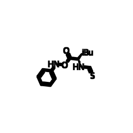 CC[C@H](C)[C@H](NC=S)C(=O)ONc1ccccc1